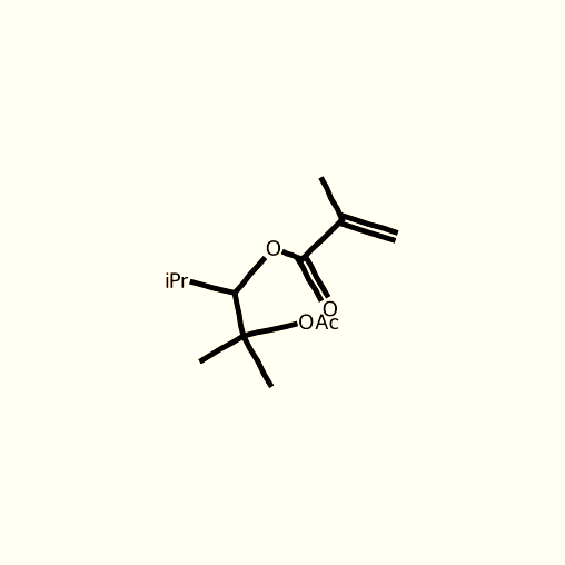 C=C(C)C(=O)OC(C(C)C)C(C)(C)OC(C)=O